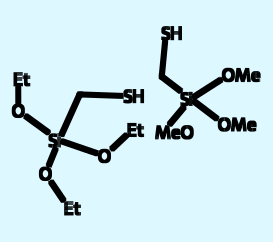 CCO[Si](CS)(OCC)OCC.CO[Si](CS)(OC)OC